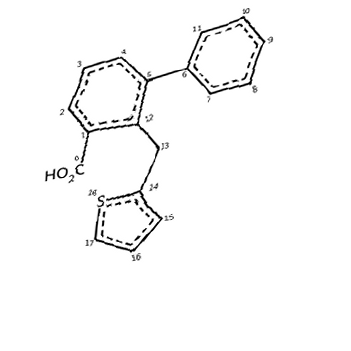 O=C(O)c1cccc(-c2ccccc2)c1Cc1cccs1